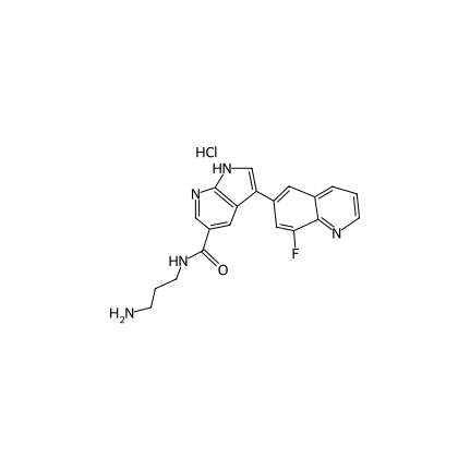 Cl.NCCCNC(=O)c1cnc2[nH]cc(-c3cc(F)c4ncccc4c3)c2c1